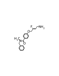 CN(Cc1ccccc1)C(=O)c1ccc(OC/C(F)=C/CN)cc1